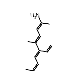 C=CC(=C\C=C/C)/C(C)=C/C=C(\C)N